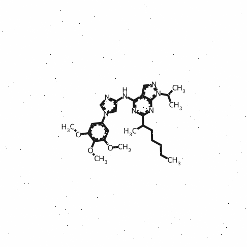 CCCCCC(C)c1nc(Nc2cn(-c3cc(OC)c(OC)c(OC)c3)cn2)c2cnn(C(C)C)c2n1